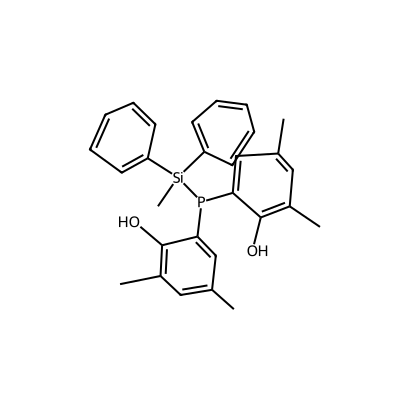 Cc1cc(C)c(O)c(P(c2cc(C)cc(C)c2O)[Si](C)(c2ccccc2)c2ccccc2)c1